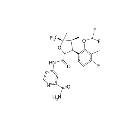 Cc1c(F)ccc([C@H]2[C@H](C(=O)Nc3ccnc(C(N)=O)c3)O[C@@](C)(C(F)(F)F)[C@H]2C)c1OC(F)F